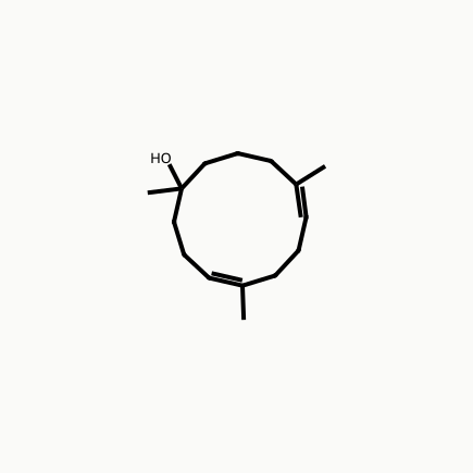 CC1=CCCC(C)(O)CCCC(C)=CCC1